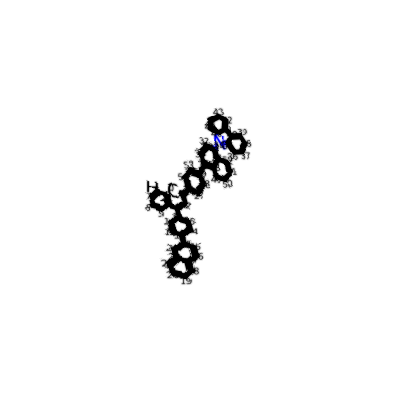 C=C(/C=C(\c1ccccc1)c1ccc(-c2ccc3ccccc3c2)cc1)c1ccc(-c2ccc(-n3c4ccccc4c4ccccc43)c3c2CCC=C3)cc1